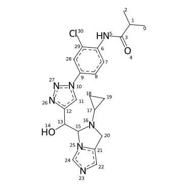 CC(C)C(=O)Nc1ccc(-n2cc(C(O)C3N(C4CC4)Cc4cncn43)nn2)cc1Cl